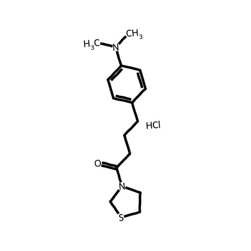 CN(C)c1ccc(CCCC(=O)N2CCSC2)cc1.Cl